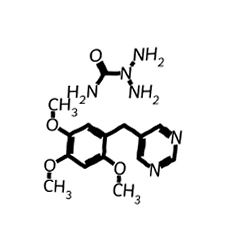 COc1cc(OC)c(OC)cc1Cc1cncnc1.NC(=O)N(N)N